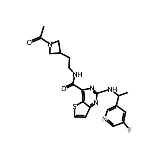 CC(=O)N1CC(CCNC(=O)c2nc(NC(C)c3cncc(F)c3)nc3ccsc23)C1